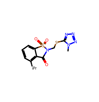 CC(C)c1cccc2c1C(=O)N(CSc1nnnn1C)S2(=O)=O